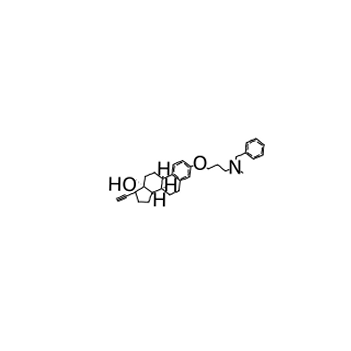 C#C[C@]1(O)CC[C@H]2[C@@H]3CCc4cc(OCCCN(C)Cc5ccccc5)ccc4[C@H]3CC[C@@]21C